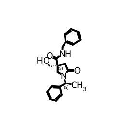 C[C@@H](c1ccccc1)N1C[C@@](CO)(C(=O)NCc2ccccc2)CC1=O